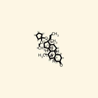 CC=C[C@]1(OC2(OCC)CCCC2)CC[C@H]2[C@@H]3[C@H](C)C[C@H]4CC(=O)CC[C@]4(C=O)[C@H]3CC[C@@]21C